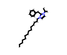 CCCCCCCCCCCCCCN1C=CN(C(C)C)C1Cc1ccccc1